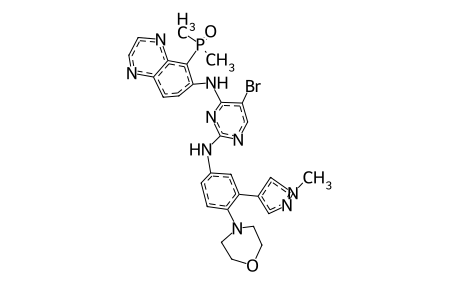 Cn1cc(-c2cc(Nc3ncc(Br)c(Nc4ccc5nccnc5c4P(C)(C)=O)n3)ccc2N2CCOCC2)cn1